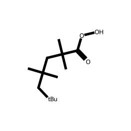 CC(C)(C)CC(C)(C)CC(C)(C)C(=O)OO